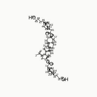 C=C(C)[C@@H]1CC[C@]2(COC(=O)C[N+]34CC[N+](CCCCO)(CC3)CC4)CC[C@]3(C)C(CCC4[C@@]5(C)CC[C@H](OC(=O)C[N+]67CC[N+](CCCCO)(CC6)CC7)C(C)(C)C5CC[C@]43C)C12